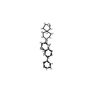 c1ccc(-c2ccc3nc(N4CCC5(CCOC5)CC4)cnc3n2)cc1